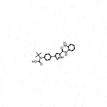 CC(C)(C)N(C(=O)O)c1ccc(-c2cc(C(=O)Nc3ccccc3N)[nH]n2)cc1